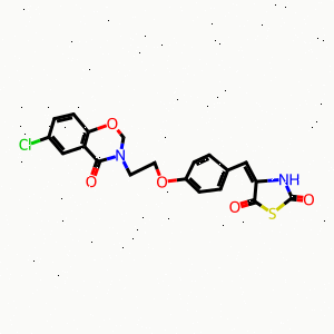 O=C1NC(=Cc2ccc(OCCN3COc4ccc(Cl)cc4C3=O)cc2)C(=O)S1